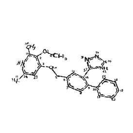 COc1c(OCc2ccc(-c3ccccc3)c(-c3nnn[nH]3)c2)cc(C)nc1C